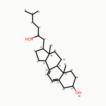 CC(C)CCC(O)CC1CCC2C3=CC=C4CC(O)CCC4(C)C3CCC12C